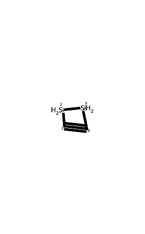 C1#C[SiH2][SiH2]1